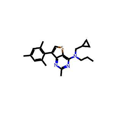 CCCN(CC1CC1)c1nc(C)nc2c(-c3c(C)cc(C)cc3C)csc12